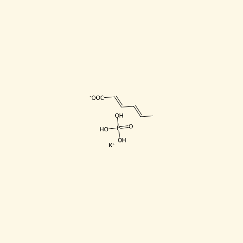 CC=CC=CC(=O)[O-].O=P(O)(O)O.[K+]